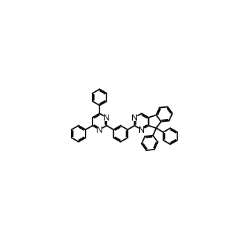 c1ccc(-c2cc(-c3ccccc3)nc(-c3cccc(-c4ncc5c(n4)C(c4ccccc4)(c4ccccc4)c4ccccc4-5)c3)n2)cc1